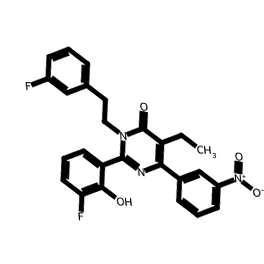 CCc1c(-c2cccc([N+](=O)[O-])c2)nc(-c2cccc(F)c2O)n(CCc2cccc(F)c2)c1=O